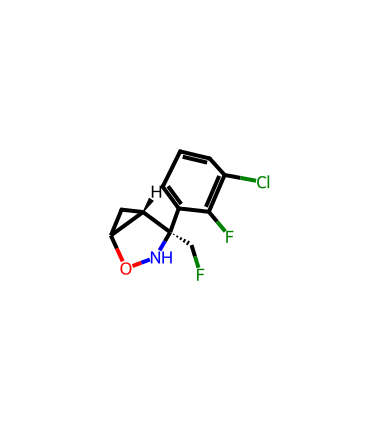 FC[C@]1(c2cccc(Cl)c2F)NOC2C[C@@H]21